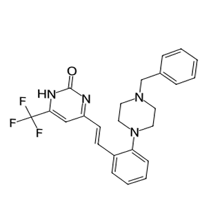 O=c1nc(C=Cc2ccccc2N2CCN(Cc3ccccc3)CC2)cc(C(F)(F)F)[nH]1